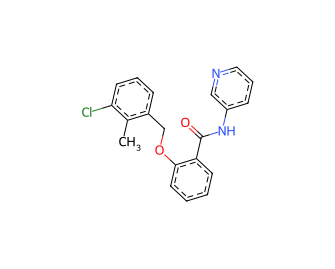 Cc1c(Cl)cccc1COc1ccccc1C(=O)Nc1cccnc1